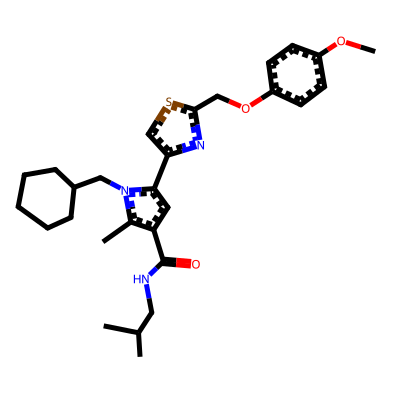 COc1ccc(OCc2nc(-c3cc(C(=O)NCC(C)C)c(C)n3CC3CCCCC3)cs2)cc1